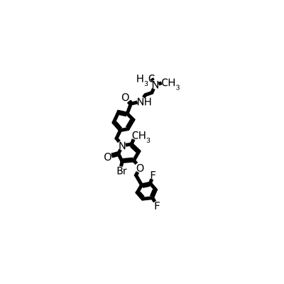 Cc1cc(OCc2ccc(F)cc2F)c(Br)c(=O)n1Cc1ccc(C(=O)NCCN(C)C)cc1